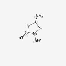 CCCN1CC(N)CC1=O